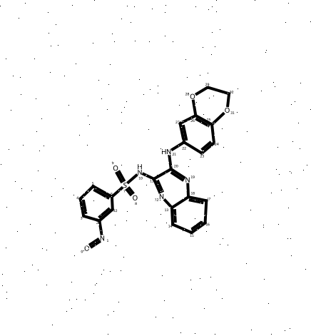 O=Nc1cccc(S(=O)(=O)Nc2nc3ccccc3nc2Nc2ccc3c(c2)OCCO3)c1